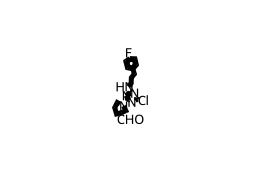 O=CC1CCCN(c2nc(Cl)nc(NCCCc3ccc(F)cc3)n2)C1